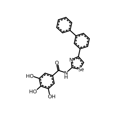 O=C(Nc1nc(-c2cccc(-c3ccccc3)c2)c[se]1)c1cc(O)c(O)c(O)c1